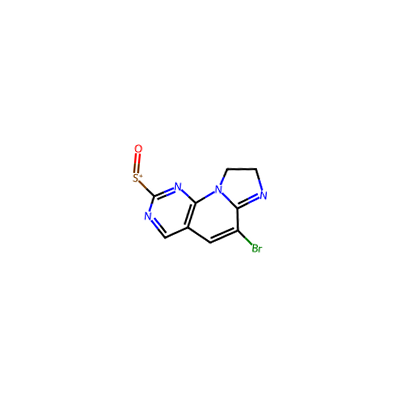 O=[S+]c1ncc2c(n1)N1CCN=C1C(Br)=C2